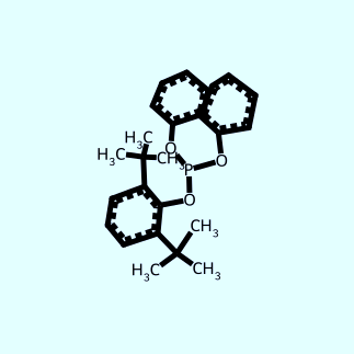 CC(C)(C)c1cccc(C(C)(C)C)c1OP(Oc1ccccc1)Oc1ccccc1